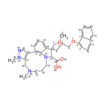 COCC1(CCCOc2cccc3ccccc23)c2cccc3c2N(CCCN(C)Cc2c-3cnn2C)C1C(=O)O